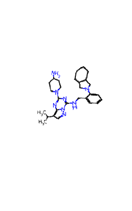 CC(C)c1cnn2c(NCc3ccccc3N3CC4CCCCC4C3)nc(N3CCC(N)CC3)nc12